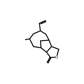 C=CC1CC(C)CC2CC(C1)C1COC(=C)C21